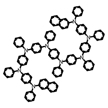 c1ccc(N(c2ccc(N(c3ccccc3)c3ccc(N(c4ccccc4)c4ccc(N(c5ccccc5)c5ccc(N(c6ccccc6)c6ccc7ccccc7c6)cc5)cc4)cc3)cc2)c2ccc(N(c3ccccc3)c3ccc(N(c4ccccc4)c4ccc(N(c5ccccc5)c5ccc6ccccc6c5)cc4)cc3)cc2)cc1